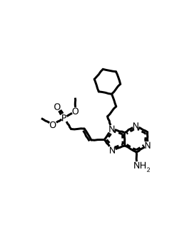 COP(=O)(CC=Cc1nc2c(N)ncnc2n1CCC1CCCCC1)OC